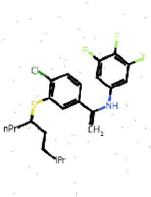 C=C(Nc1cc(F)c(F)c(F)c1)c1ccc(Cl)c(SC(CCC)CCC(C)C)c1